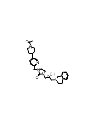 CC(=O)N1CCC(c2ccc(CN3CCN(C[C@H](O)CN4CCc5ccccc5C4)C3=O)nc2)CC1